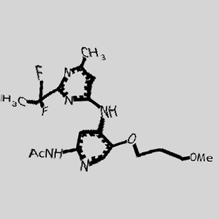 COCCCOc1cnc(NC(C)=O)cc1Nc1cc(C)nc(C(C)(F)F)n1